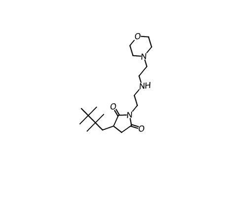 CC(C)(C)C(C)(C)CC1CC(=O)N(CCNCCN2CCOCC2)C1=O